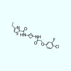 CCc1csc(C(=O)NC23CC(NC(=O)COc4ccc(Cl)c(F)c4)(C2)C3)n1